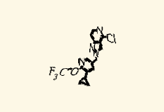 FC(F)(F)COc1ncc(Cn2cc3c(Cl)nccc3n2)cc1C1CC1